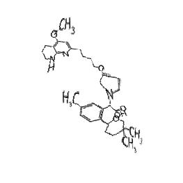 COc1cc(CCCCO[C@@H]2CCN(C(C(=O)O)c3cc(C)ccc3C3CCC(C)(C)CO3)C2)nc2c1CCCN2